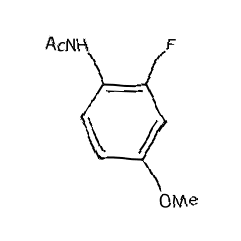 COc1ccc(NC(C)=O)c(F)c1